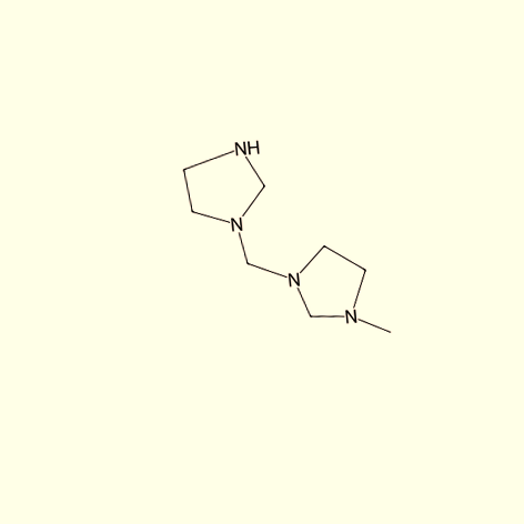 CN1CCN(CN2CCNC2)C1